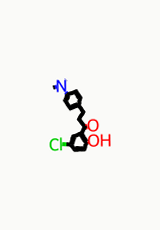 CN(C)c1ccc(CCC(=O)c2cc(Cl)ccc2O)cc1